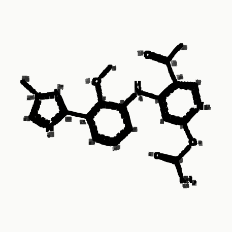 COc1c(Nc2cc(OC(N)=O)ncc2C(C)=O)cccc1-c1ncn(C)n1